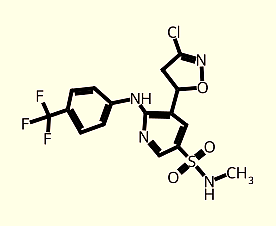 CNS(=O)(=O)c1cnc(Nc2ccc(C(F)(F)F)cc2)c(C2CC(Cl)=NO2)c1